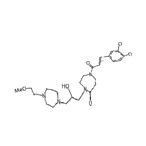 COCCN1CCN(CC(O)CN2CCN(C(=O)/C=C/c3ccc(Cl)c(Cl)c3)CCC2=O)CC1